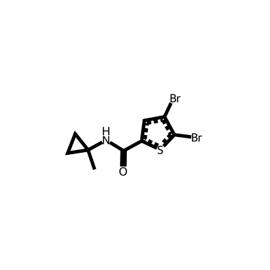 CC1(NC(=O)c2cc(Br)c(Br)s2)CC1